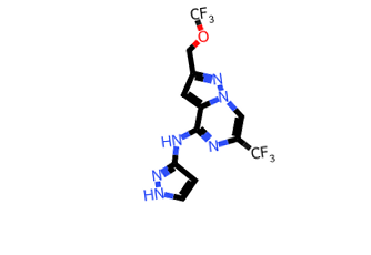 FC(F)(F)OCc1cc2c(Nc3cc[nH]n3)nc(C(F)(F)F)cn2n1